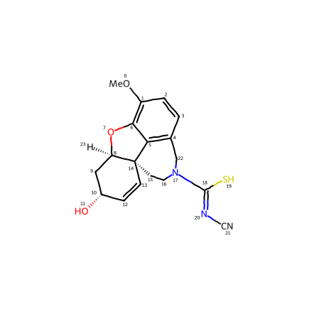 COc1ccc2c3c1O[C@@H]1C[C@@H](O)C=C[C@]31CCN(C(S)=NC#N)C2